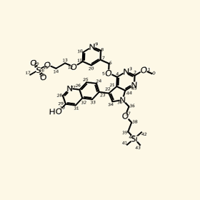 COc1nc(OCc2cncc(OCCOS(C)(=O)=O)c2)c2c(-c3ccc4ncc(O)cc4c3)cn(COCC[Si](C)(C)C)c2n1